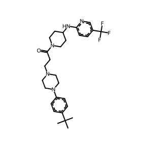 CC(C)(C)c1ccc(N2CCN(CCC(=O)N3CCC(Nc4ccc(C(F)(F)F)cn4)CC3)CC2)cc1